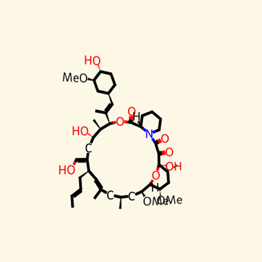 C/C=C/C[C@@H]1/C=C(\C)C[C@H](C)C[C@H](OC)[C@H]2O[C@@](O)(C(=O)C(=O)N3CCCC[C@H]3C(=O)O[C@H](/C(C)=C/[C@@H]3CC[C@@H](O)[C@H](OC)C3)[C@H](C)[C@@H](O)C/C1=C/O)[C@H](C)C[C@@H]2OC